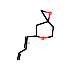 C=C/C=C/C1CC2(CCO1)CO2